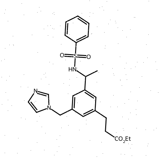 CCOC(=O)CCc1cc(Cn2ccnc2)cc(C(C)NS(=O)(=O)c2ccccc2)c1